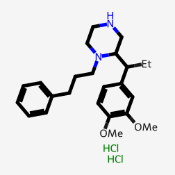 CCC(c1ccc(OC)c(OC)c1)C1CNCCN1CCCc1ccccc1.Cl.Cl